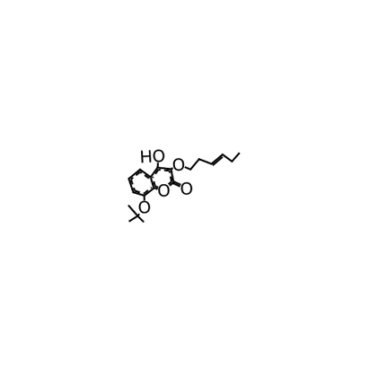 CCC=CCCOc1c(O)c2cccc(OC(C)(C)C)c2oc1=O